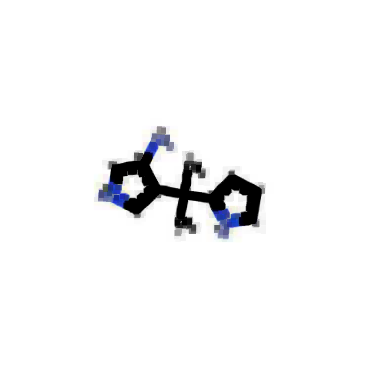 CC(C)(c1ccc[nH]1)c1c[nH]cc1N